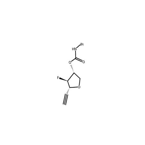 C#C[C@H]1OC[C@@H](OC(=O)NC(C)C)[C@@H]1F